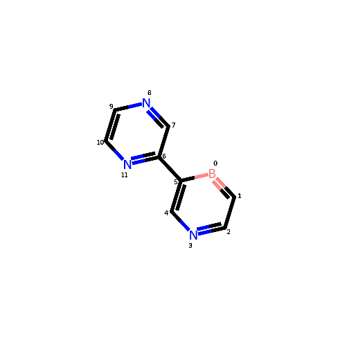 b1ccncc1-c1cnccn1